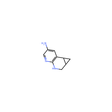 Nc1cnc2c(c1)C1CC1CN2